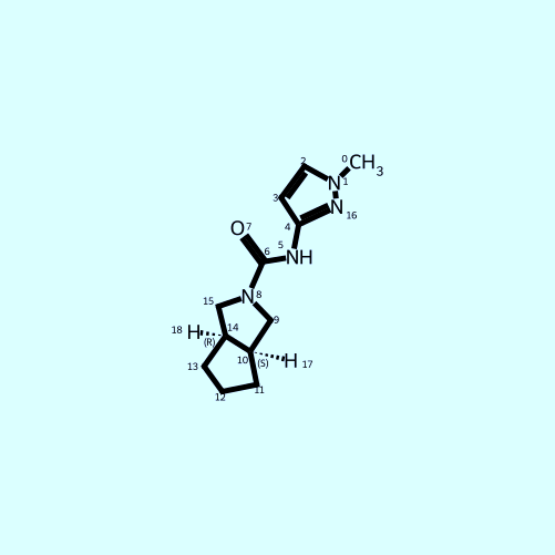 Cn1ccc(NC(=O)N2C[C@H]3CCC[C@H]3C2)n1